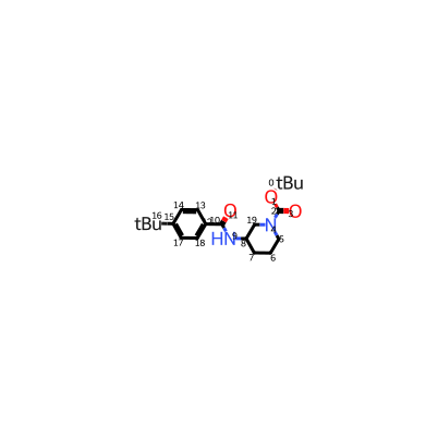 CC(C)(C)OC(=O)N1CCCC(NC(=O)c2ccc(C(C)(C)C)cc2)C1